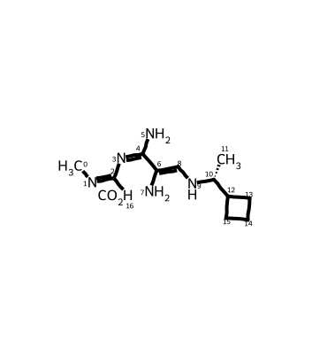 C\N=C(/N=C(N)\C(N)=C\N[C@H](C)C1CCC1)C(=O)O